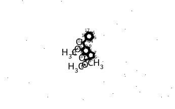 COC(=O)C1(C)CCc2cc(C(=O)c3ccccc3)c(OC)cc21